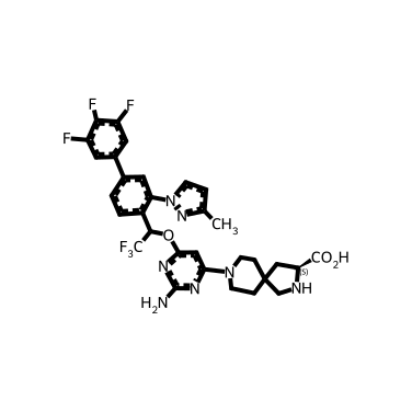 Cc1ccn(-c2cc(-c3cc(F)c(F)c(F)c3)ccc2C(Oc2cc(N3CCC4(CC3)CN[C@H](C(=O)O)C4)nc(N)n2)C(F)(F)F)n1